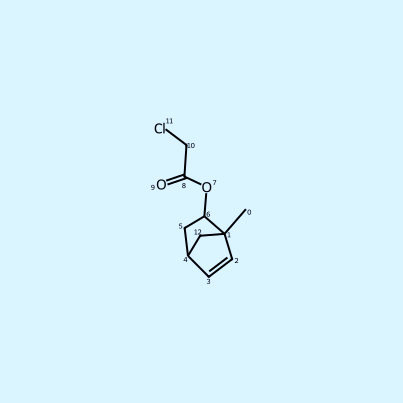 CC12C=CC(CC1OC(=O)CCl)C2